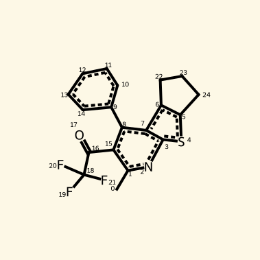 Cc1nc2sc3c(c2c(-c2ccccc2)c1C(=O)C(F)(F)F)CCC3